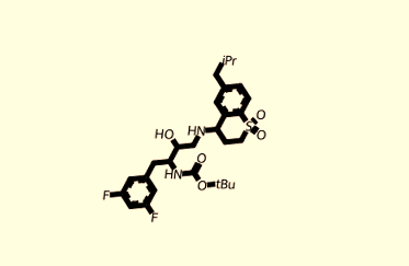 CC(C)Cc1ccc2c(c1)C(NCC(O)C(Cc1cc(F)cc(F)c1)NC(=O)OC(C)(C)C)CCS2(=O)=O